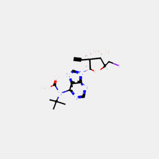 C#C[C@]1(O)[C@H](n2cnc3c(N(C(=O)O)C(C)(C)C)ncnc32)O[C@](F)(CI)[C@H]1O